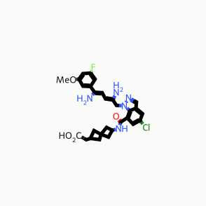 COc1cc(F)cc(/C(N)=C/C=C(\N)Cn2ncc3cc(Cl)cc(C(=O)NC4CC5(CC(CC(=O)O)C5)C4)c32)c1